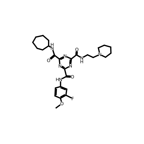 COc1ccc(NC(=O)c2nc(C(=O)NCCN3CCCCC3)nc(C(=O)NC3CCCCCC3)n2)cc1F